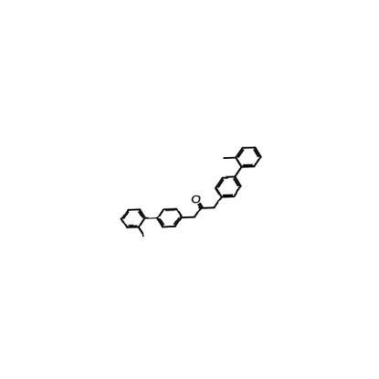 Cc1ccccc1-c1ccc(CC(=O)Cc2ccc(-c3ccccc3C)cc2)cc1